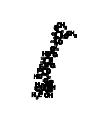 COc1cc(OC)c2oc(COC(=O)Nc3ccn([C@@H]4O[C@H](COP(=O)(O)NC(C(=O)O)C(C)C)[C@@H](O)C4(F)F)c(=O)n3)cc2c1